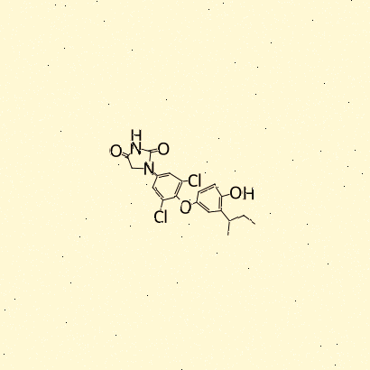 CCC(C)c1cc(Oc2c(Cl)cc(N3CC(=O)NC3=O)cc2Cl)ccc1O